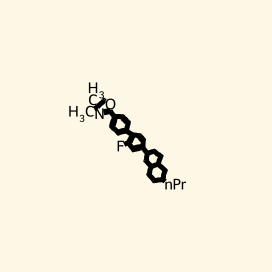 CCCC1CCC2CC(c3ccc(-c4ccc(C5=NC(C)(C)CO5)cc4)c(F)c3)CCC2C1